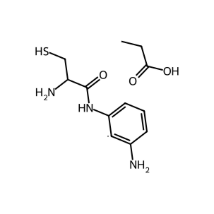 CCC(=O)O.Nc1[c]c(NC(=O)C(N)CS)ccc1